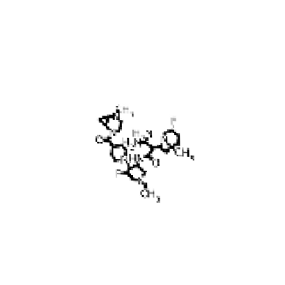 CCN1C=C(F)C(N2CCC(C(=O)N3CCN(C)C4CC43)CC2)C(NC(=O)C(C(N)N)C2CC3(C)CC[C@H](F)CN23)C1